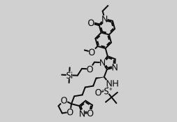 CCn1ccc2cc(-c3cnc([C@H](CCCCCC4(c5ccon5)OCCO4)N[S@+]([O-])C(C)(C)C)n3COCC[Si](C)(C)C)c(OC)cc2c1=O